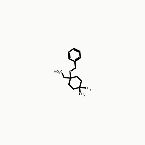 CC1(C)CCC(CC(=O)O)(SCc2ccccc2)CC1